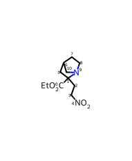 CCOC(=O)C1(CC[N+](=O)[O-])CC2CCN1C2